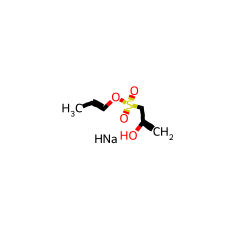 C=C(O)CS(=O)(=O)OC=CC.[NaH]